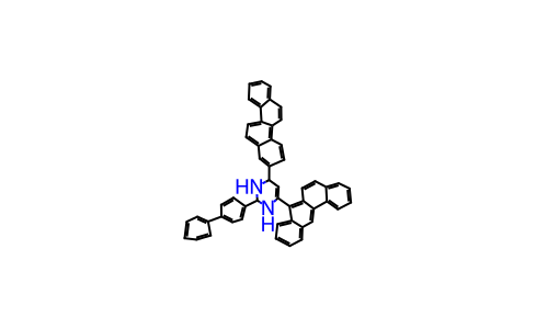 C1=C(c2c3ccccc3cc3c2ccc2ccccc23)NC(c2ccc(-c3ccccc3)cc2)NC1c1ccc2c(ccc3c4ccccc4ccc23)c1